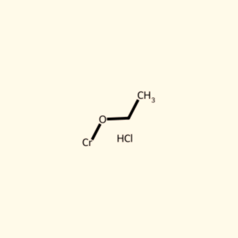 CC[O][Cr].Cl